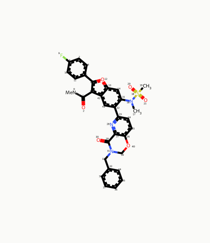 CNC(=O)c1c(-c2ccc(F)cc2)oc2cc(N(C)S(C)(=O)=O)c(-c3ccc4c(n3)C(=O)N(Cc3ccccc3)CO4)cc12